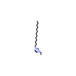 CCCCCCCCCCCCCN1C=CN(CC)C1